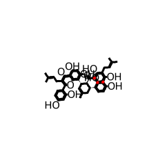 CC(C)=CCc1c(O)ccc(C(=O)[C@@H]2[C@@H](c3c(O)cc(O)c4c(=O)c(CC=C(C)C)c(-c5ccc(O)cc5O)oc34)C=C(C)C[C@H]2c2ccc(O)cc2O)c1O